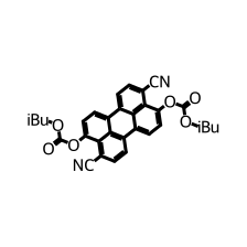 CCC(C)OC(=O)Oc1ccc2c3ccc(C#N)c4c(OC(=O)OC(C)CC)ccc(c5ccc(C#N)c1c52)c43